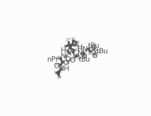 CCC[C@H](NC(=O)[C@@H]1C[C@@]2(CN1C(=O)[C@@H](NC(=O)N[C@H](CS(=O)(=O)C(C)(C)C)C(C)(C)C)C(C)(C)C)C(C)(C)C21CCC1)C(=O)C(=O)NC1CC1